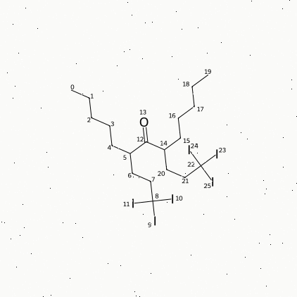 CCCCCC(CCC(I)(I)I)C(=O)C(CCCCC)CCC(I)(I)I